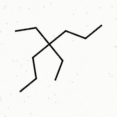 CCCC(CC)(CC)CCC